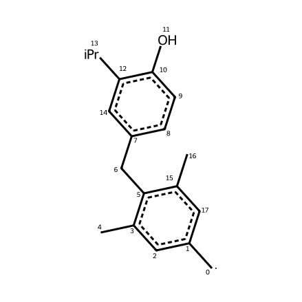 [CH2]c1cc(C)c(Cc2ccc(O)c(C(C)C)c2)c(C)c1